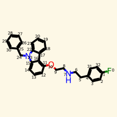 Fc1ccc(CCNCCOc2cccc3c2c2ccccc2n3Cc2ccccc2)cc1